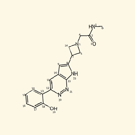 CNC(=O)CN1CC(c2cc3cc(-c4ccccc4O)nnc3[nH]2)C1